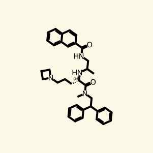 CC(CNC(=O)c1ccc2ccccc2c1)N[C@@H](CCCN1CCC1)C(=O)N(C)CC(c1ccccc1)c1ccccc1